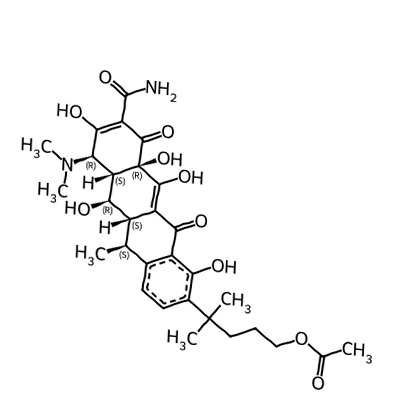 CC(=O)OCCCC(C)(C)c1ccc2c(c1O)C(=O)C1=C(O)[C@@]3(O)C(=O)C(C(N)=O)=C(O)[C@H](N(C)C)[C@H]3[C@H](O)[C@H]1[C@@H]2C